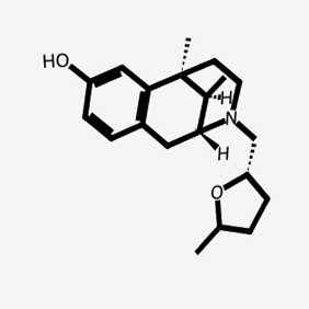 CC1CC[C@@H](CN2CC[C@]3(C)c4cc(O)ccc4C[C@@H]2[C@@H]3C)O1